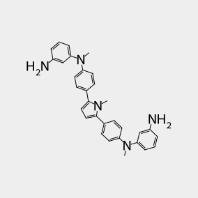 CN(c1ccc(-c2ccc(-c3ccc(N(C)c4cccc(N)c4)cc3)n2C)cc1)c1cccc(N)c1